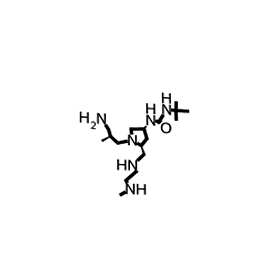 CNCCNC[C@@H]1C[C@@H](NC(=O)NC(C)(C)C)CN1C[C@@H](C)CN